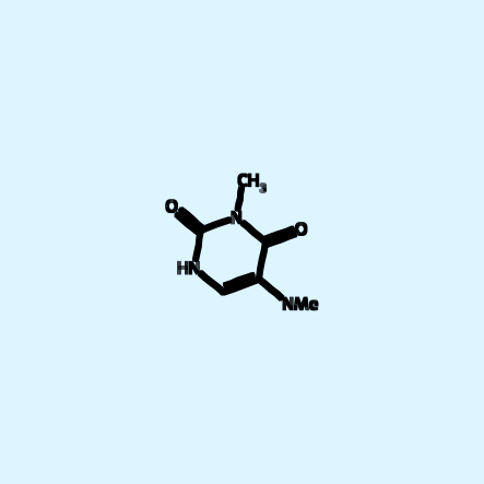 CNc1c[nH]c(=O)n(C)c1=O